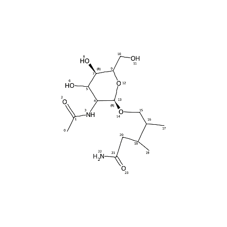 CC(=O)NC1C(O)[C@@H](O)C(CO)O[C@H]1OCC(C)C(C)CC(N)=O